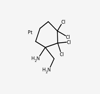 NCC1(N)CCCC(Cl)(Cl)C1(Cl)Cl.[Pt]